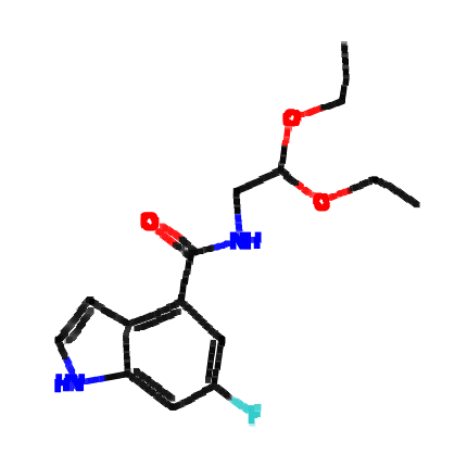 CCOC(CNC(=O)c1cc(F)cc2[nH]ccc12)OCC